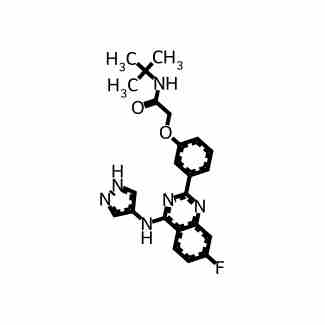 CC(C)(C)NC(=O)COc1cccc(-c2nc(Nc3cn[nH]c3)c3ccc(F)cc3n2)c1